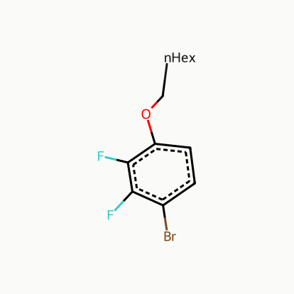 CCCCCCCOc1ccc(Br)c(F)c1F